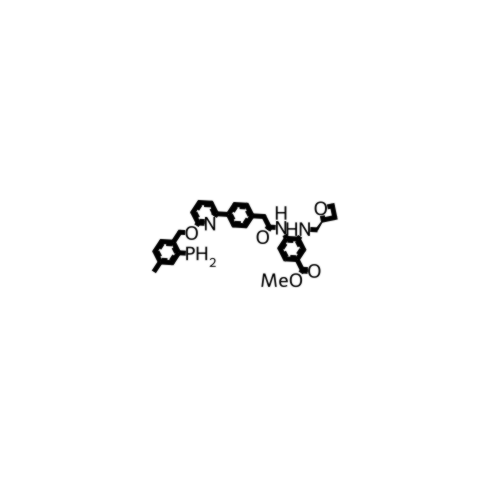 COC(=O)c1ccc(NC(=O)Cc2ccc(-c3cccc(OCc4ccc(C)cc4P)n3)cc2)c(NC[C@@H]2CCO2)c1